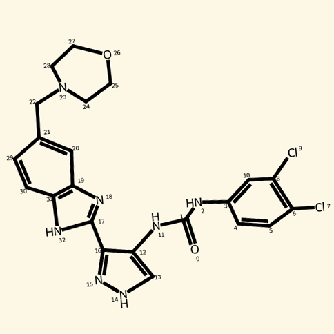 O=C(Nc1ccc(Cl)c(Cl)c1)Nc1c[nH]nc1-c1nc2cc(CN3CCOCC3)ccc2[nH]1